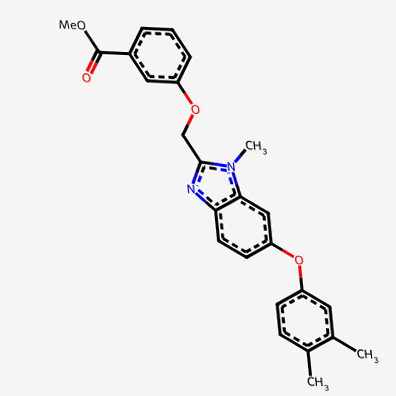 COC(=O)c1cccc(OCc2nc3ccc(Oc4ccc(C)c(C)c4)cc3n2C)c1